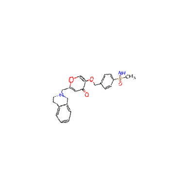 CS(=N)(=O)c1ccc(COc2coc(CN3CCc4ccccc4C3)cc2=O)cc1